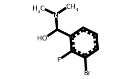 CN(C)C(O)c1cccc(Br)c1F